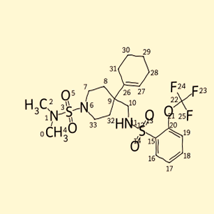 CN(C)S(=O)(=O)N1CCC(CNS(=O)(=O)c2ccccc2OC(F)(F)F)(C2=CCCCC2)CC1